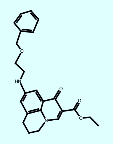 CCOC(=O)c1cn2c3c(cc(NCCOCc4ccccc4)cc3c1=O)CCC2